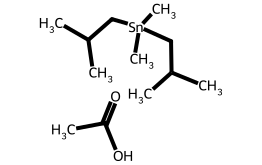 CC(=O)O.CC(C)[CH2][Sn]([CH3])([CH3])[CH2]C(C)C